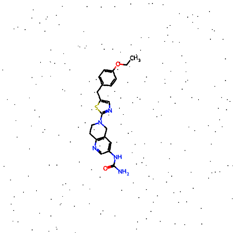 CCOc1ccc(Cc2cnc(N3CCc4ncc(NC(N)=O)cc4C3)s2)cc1